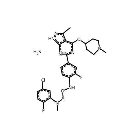 Cc1n[nH]c2nc(-c3ccc(NOSN(C)c4cc(Cl)ccc4F)c(F)c3)nc(OC3CCN(C)CC3)c12.S